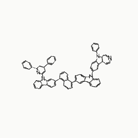 c1ccc(-c2cc(-c3ccccc3)nc(-n3c4ccccc4c4ccc(-c5cccc6c(-c7ccc8c(c7)c7ccccc7n8-c7ccc8c(c7)c7ccncc7n8-c7ccccc7)cccc56)cc43)c2)cc1